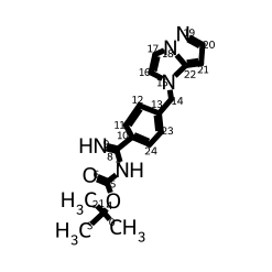 CC(C)(C)OC(=O)NC(=N)c1ccc(Cn2ccn3nccc23)cc1